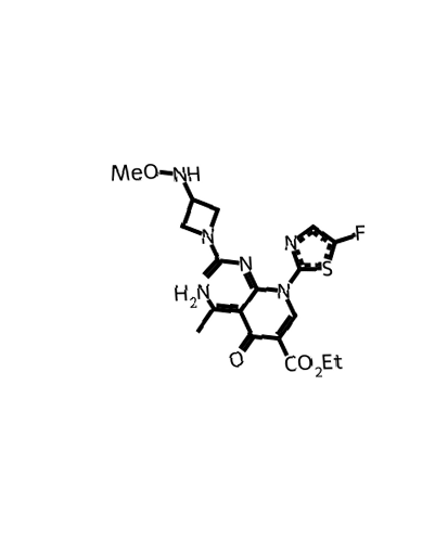 C=C(/N=C1\C(=C(\C)N)C(=O)C(C(=O)OCC)=CN1c1ncc(F)s1)N1CC(NOC)C1